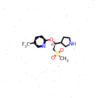 CS(=O)(=O)C[C@@H](Oc1ccc(C(F)(F)F)cn1)C1CCNC1